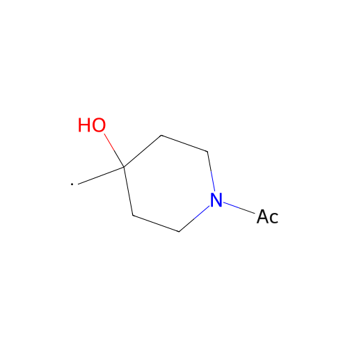 [CH2]C1(O)CCN(C(C)=O)CC1